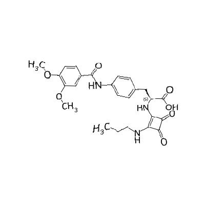 CCCNc1c(N[C@@H](Cc2ccc(NC(=O)c3ccc(OC)c(OC)c3)cc2)C(=O)O)c(=O)c1=O